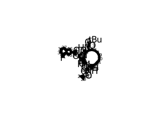 CC(C)(C)OC(=O)N[C@H]1CCCCC/C=C\[C@@H]2C[C@@]2(C(=O)NS(=O)(=O)C2CC2)NC(=O)[C@@H]2C[C@@H](OC(=O)C3Cc4cccc(F)c4C3)CN2C1=O